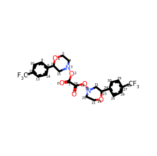 O=C(ON1CCOC(c2ccc(C(F)(F)F)cc2)C1)C(=O)ON1CCOC(c2ccc(C(F)(F)F)cc2)C1